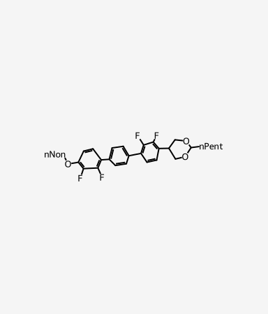 CCCCCCCCCOc1ccc(-c2ccc(-c3ccc(C4COC(CCCCC)OC4)c(F)c3F)cc2)c(F)c1F